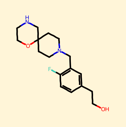 OCCc1ccc(F)c(CN2CCC3(CC2)CNCCO3)c1